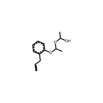 C=CCc1ccccc1OC(C)OC(C)O